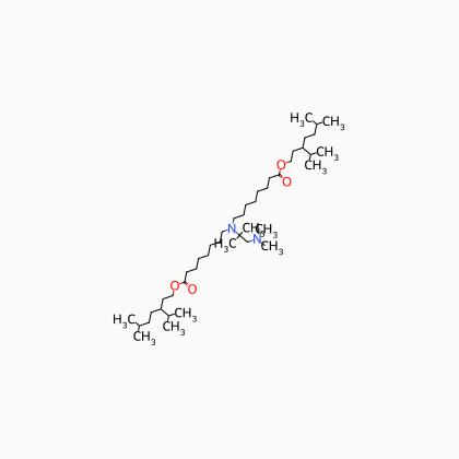 CC(C)CCC(CCOC(=O)CCCCCCCN(CCCCCCCC(=O)OCCC(CCC(C)C)C(C)C)C(C)(C)CN(C)C)C(C)C